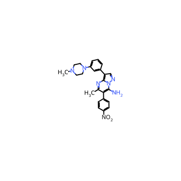 Cc1nc2c(-c3cccc(N4CCN(C)CC4)c3)cnn2c(N)c1-c1ccc([N+](=O)[O-])cc1